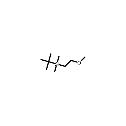 COCC[Si](C)(C)C(C)(C)C